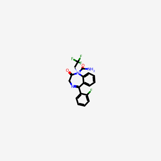 NC(=O)[N@+]1(CC(F)(F)F)C(=O)[CH]N=C(c2ccccc2F)c2ccccc21